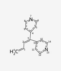 C=CC=C(c1ccncc1)c1ccncc1